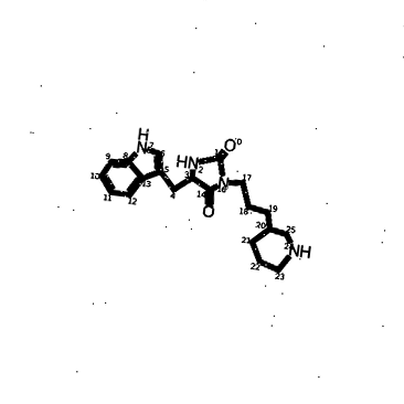 O=C1NC(Cc2c[nH]c3ccccc23)C(=O)N1CCCC1CCCNC1